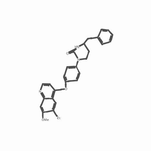 CCc1cc2c(Oc3ccc(N4CCC(Cc5ccccc5)NC4=O)cc3)ccnc2cc1OC